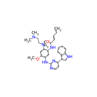 C=C/C=C/C(=O)Nc1cc(Nc2nccc(-c3c[nH]c4ccccc34)n2)c(OC)cc1N(C)CCN(C)C